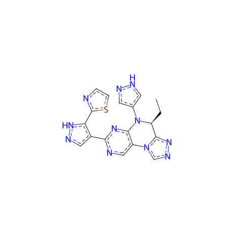 CC[C@H]1c2nncn2-c2cnc(-c3cn[nH]c3-c3nccs3)nc2N1c1cn[nH]c1